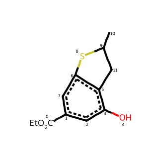 CCOC(=O)c1cc(O)c2c(c1)SC(C)C2